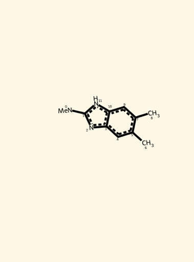 CNc1nc2cc(C)c(C)cc2[nH]1